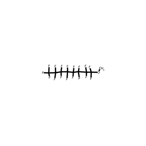 COC(F)(F)C(F)(F)C(F)(F)C(F)(F)C(F)(F)C(F)(F)C(F)(F)C(F)(F)F